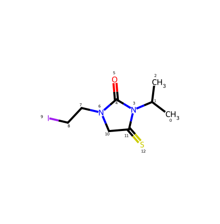 CC(C)N1C(=O)N(CCI)CC1=S